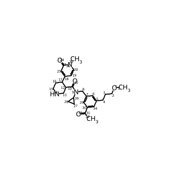 COCCCc1cc(CN(C(=O)C2CNCCC2c2ccn(C)c(=O)c2)C2CC2)cc(C(C)=O)c1